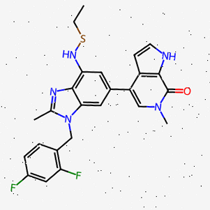 CCSNc1cc(-c2cn(C)c(=O)c3[nH]ccc23)cc2c1nc(C)n2Cc1ccc(F)cc1F